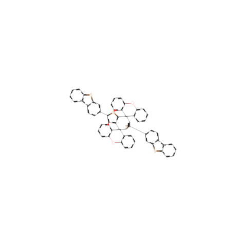 c1ccc2c(c1)Oc1ccccc1C21c2cc(-c3ccc4c(c3)sc3ccccc34)sc2C2(c3ccccc3Oc3ccccc32)c2cc(-c3ccc4c(c3)sc3ccccc34)sc21